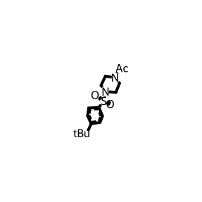 CC(=O)N1CCN(S(=O)(=O)c2ccc(C(C)(C)C)cc2)CC1